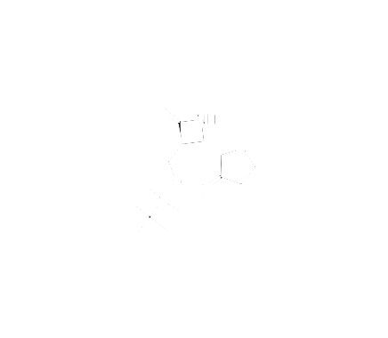 C[C@@H](O[Si](C)(C)C(C)(C)C)[C@H]1C(=O)N[C@@H]1C1SCCC1=O